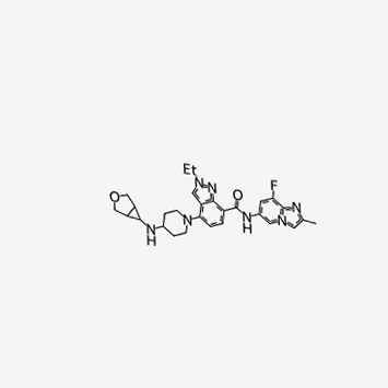 CCn1cc2c(N3CCC(NC4C5COCC54)CC3)ccc(C(=O)Nc3cc(F)c4nc(C)cn4c3)c2n1